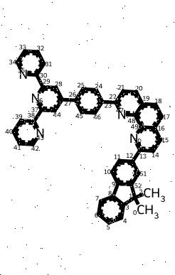 CC1(C)c2ccccc2-c2ccc(-c3ccc4ccc5ccc(-c6ccc(-c7cc(-c8ccccn8)nc(-c8ccccn8)c7)cc6)nc5c4n3)cc21